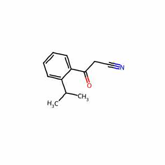 CC(C)c1ccccc1C(=O)CC#N